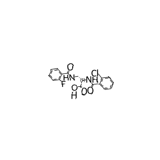 O=C(NC[C@H](NC(=O)c1ccccc1Cl)C(=O)O)c1ccccc1F